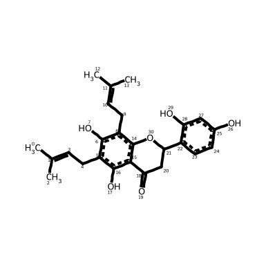 CC(C)=CCc1c(O)c(CC=C(C)C)c2c(c1O)C(=O)CC(c1ccc(O)cc1O)O2